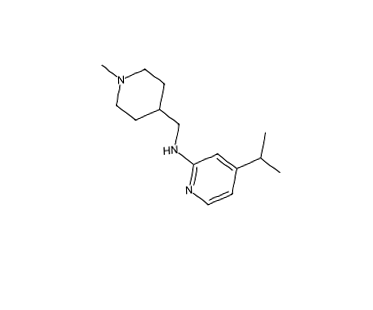 CC(C)c1ccnc(NCC2CCN(C)CC2)c1